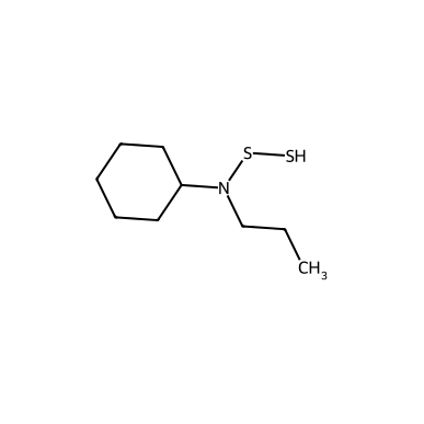 CCCN(SS)C1CCCCC1